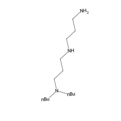 CCCCN(CCCC)CCCNCCCN